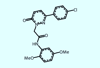 COc1ccc(OC)c(NC(=O)Cn2nc(-c3ccc(Cl)cc3)ccc2=O)c1